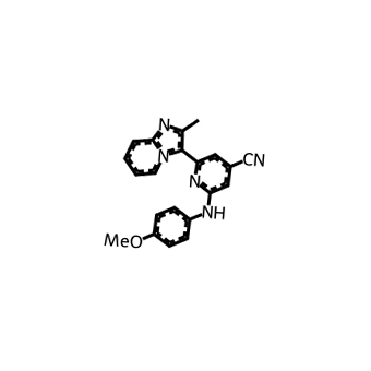 COc1ccc(Nc2cc(C#N)cc(-c3c(C)nc4ccccn34)n2)cc1